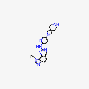 CC(C)n1cnc2ccc3cnc(Nc4ccc(N5CC6(CCNCC6)C5)cn4)nc3c21